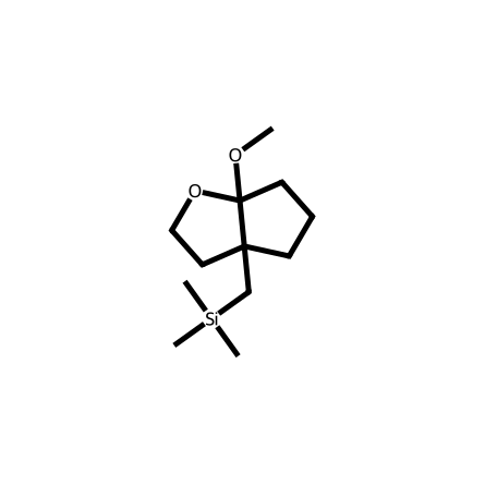 COC12CCCC1(C[Si](C)(C)C)CCO2